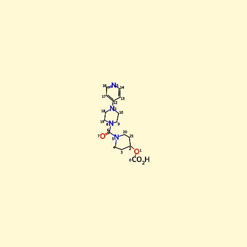 O=C(O)OC1CCN(C(=O)N2CCN(c3ccncc3)CC2)CC1